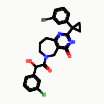 CC(C)c1cccc(C2(c3nc4c(c(=O)[nH]3)CN(C(=O)C(O)c3cccc(Cl)c3)CCC4)CC2)c1